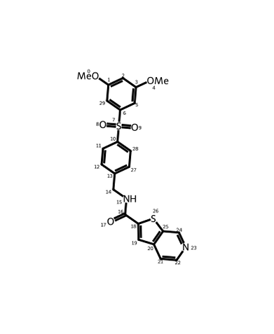 COc1cc(OC)cc(S(=O)(=O)c2ccc(CNC(=O)c3cc4ccncc4s3)cc2)c1